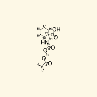 CC(C)C(=O)OCOC(=O)NCC1(C(=O)O)CCCCC1